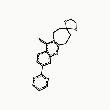 O=c1c2ccc(-c3ncccn3)cc2nc2n1CCC1(CC2)OCCO1